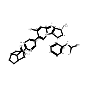 O=C(O)C1C2CCC1CN(c1ncc(-c3cn4c5c(nc4cc3F)[C@H](O)C[C@@H]5c3ccccc3OC(F)F)cn1)C2